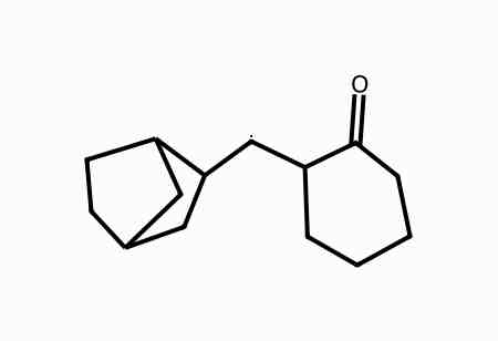 O=C1CCCCC1[CH]C1CC2CCC1C2